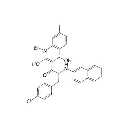 CCN1C(O)=C(C(=O)C(Cc2ccc(Cl)cc2)Nc2ccc3ccccc3c2)C(O)c2ccc(C)cc21